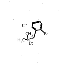 CC[N+](C)(C)Cc1ccccc1Br.[Cl-]